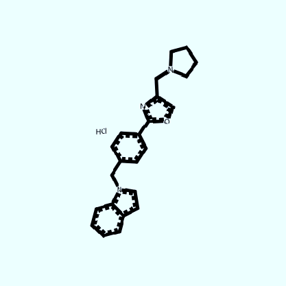 Cl.c1ccc2c(c1)ccn2Cc1ccc(-c2nc(CN3CCCC3)co2)cc1